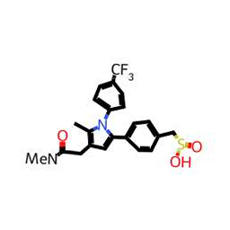 CNC(=O)Cc1cc(-c2ccc(CS(=O)O)cc2)n(-c2ccc(C(F)(F)F)cc2)c1C